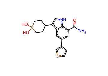 NC(=O)c1cc(-c2ccsc2)cc2c(C3CCS(O)(O)CC3)c[nH]c12